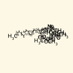 CC/C=C\C/C=C\C/C=C\C/C=C\C/C=C\C/C=C\CCC(=O)O[C@@H](C)C(=O)OC(C)C(=O)O[C@H](COc1nsnc1N1CCOCC1)CN(C(C)=O)C(C)(C)C